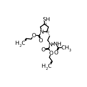 C=CCOC(=O)N(CC[C@H]1C[C@H](S)CN1C(=O)OCC=C)NC(C)=O